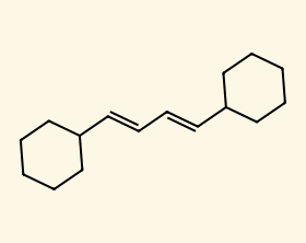 C(/C=C/C1CCCCC1)=C\C1CCCCC1